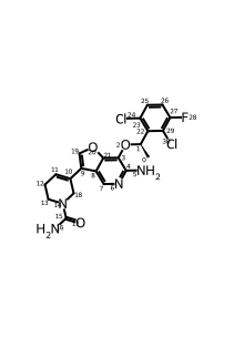 C[C@@H](Oc1c(N)ncc2c(C3=CCCN(C(N)=O)C3)coc12)c1c(Cl)ccc(F)c1Cl